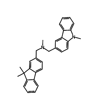 CN(Cc1ccc2c(c1)C(C)(C)c1ccccc1-2)Cc1ccc2c(c1)c1ccccc1n2C